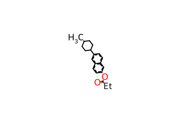 CCC(=O)Oc1ccc2cc(C3CCC(C)CC3)ccc2c1